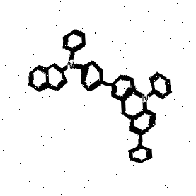 c1ccc(-c2ccc3c(c2)Cc2cc(-c4ccc(N(c5ccccc5)c5ccc6ccccc6c5)cc4)ccc2N3c2ccccc2)cc1